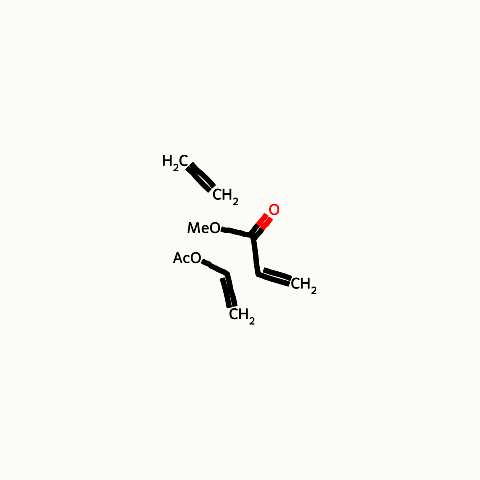 C=C.C=CC(=O)OC.C=COC(C)=O